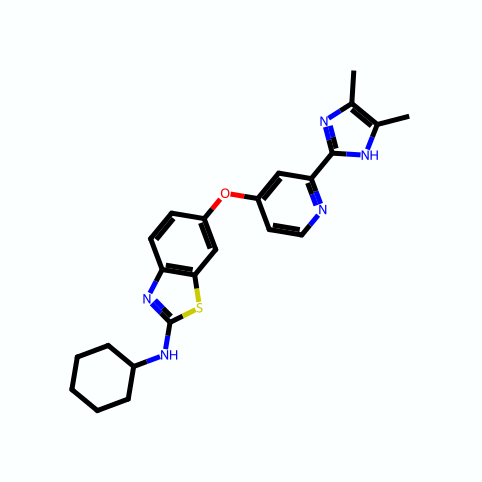 Cc1nc(-c2cc(Oc3ccc4nc(NC5CCCCC5)sc4c3)ccn2)[nH]c1C